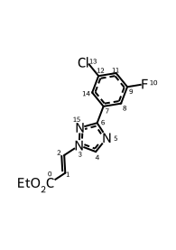 CCOC(=O)/C=C/n1cnc(-c2cc(F)cc(Cl)c2)n1